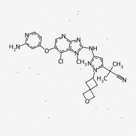 Cn1c(Nc2cc(C(C)(C)C#N)n(C3CC4(COC4)C3)n2)nc2ncc(Oc3ccnc(N)c3)c(Cl)c21